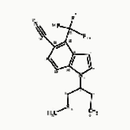 CCC(CSC)n1ccc2c(C(F)(F)F)c(C#N)ccc21